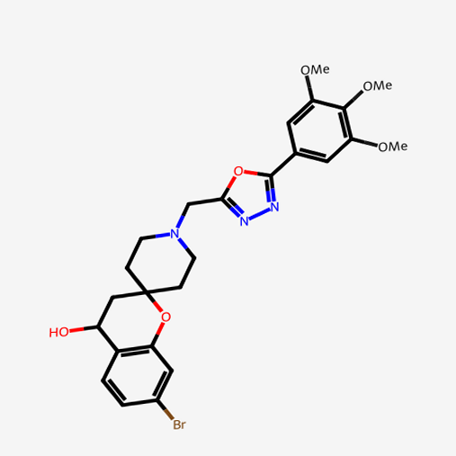 COc1cc(-c2nnc(CN3CCC4(CC3)CC(O)c3ccc(Br)cc3O4)o2)cc(OC)c1OC